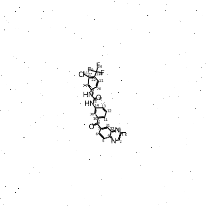 Cc1cnc2ccc(C(=O)c3cccc(NC(=O)Nc4ccc(C(F)(F)F)c(Cl)c4)c3)cc2n1